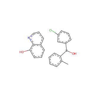 Cc1ccccc1B(O)c1cccc(Cl)c1.Oc1cccc2cccnc12